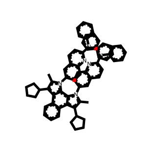 Cc1c(C2CCCC2)c2c3ccccc3c3c(C4CCCC4)c(C)n(-c4ccc5nc(N(c6ccccc6)c6ccccc6)ccc5c4)c3c2n1-c1ccc2nc(N(c3ccccc3)c3ccccc3)ccc2c1